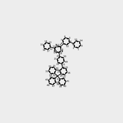 c1ccc(-c2cccc(-c3nc(-c4ccccc4)nc(-c4ccc(-c5cccc6c5-c5ccccc5C6(c5ccccc5)c5ccccc5)cc4)n3)c2)cc1